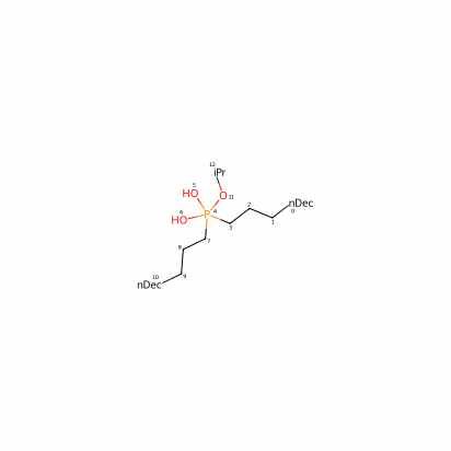 CCCCCCCCCCCCCP(O)(O)(CCCCCCCCCCCCC)OC(C)C